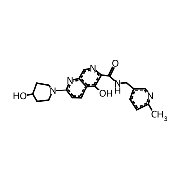 Cc1ccc(CNC(=O)c2ncc3nc(N4CCC(O)CC4)ccc3c2O)cn1